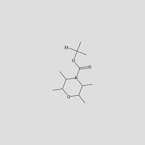 CCC(C)(C)OC(=O)N1C(C)C(C)OC(C)C1C